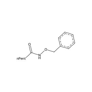 [CH2]CCCCC(=O)NOCc1ccccc1